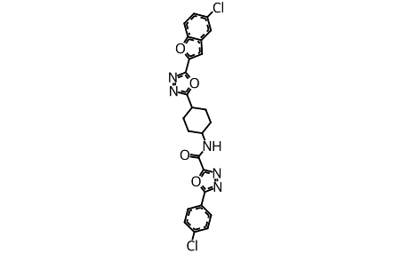 O=C(NC1CCC(c2nnc(-c3cc4cc(Cl)ccc4o3)o2)CC1)c1nnc(-c2ccc(Cl)cc2)o1